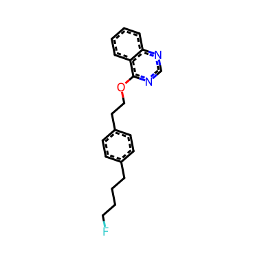 FCCCCc1ccc(CCOc2ncnc3ccccc23)cc1